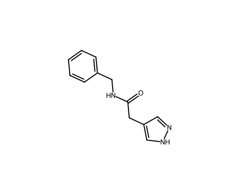 O=C(Cc1cn[nH]c1)NCc1ccccc1